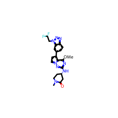 COc1nc(N[C@H]2CCN(C)C(=O)C2)nn2ccc(-c3ccc4nnn(CC(F)F)c4c3)c12